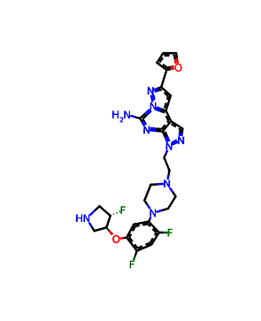 Nc1nc2c(cnn2CCN2CCN(c3cc(O[C@H]4CNC[C@@H]4F)c(F)cc3F)CC2)c2cc(-c3ccco3)nn12